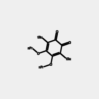 CCCOC1=C(C(C)(C)C)C(=O)C(=O)C(C(C)(C)C)=C1OCCC